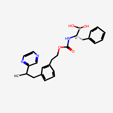 N#CC(Cc1cccc(CCOC(=O)N[C@@H](Cc2ccccc2)B(O)O)c1)c1cnccn1